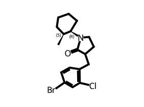 C[C@H]1CCCC[C@H]1N1CCC(Cc2ccc(Br)cc2Cl)C1=O